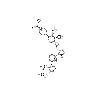 Cc1c(OCc2ccsc2-c2cccc(-n3ncc(C(=O)O)c3C(F)(F)F)n2)ccc(C2CCN(C(=O)C3CC3)CC2)c1C